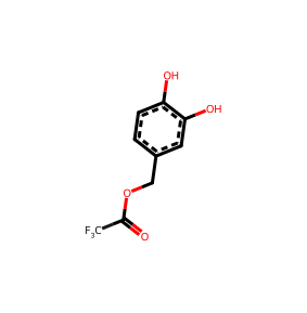 O=C(OCc1ccc(O)c(O)c1)C(F)(F)F